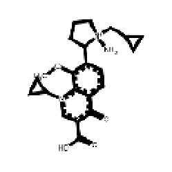 COc1c(C2CCC[N+]2(N)CC2CC2)ccc2c(=O)c(C(=O)O)cn(C3CC3)c12